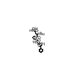 CCCC[C@H](CC(=O)NO)C(=O)N1CCC[C@H]1C(=O)NN1NC=C(c2ccccc2)S1